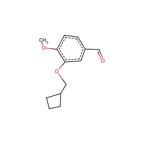 COc1ccc(C=O)cc1OCC1CCC1